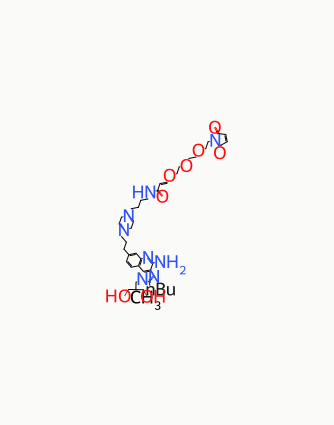 CCCCc1nc2c(N)nc3cc(CCCN4CCN(CCCCNC(=O)C=COCCOCCOCCN5C(=O)C=CC5=O)CC4)ccc3c2n1CC(C)(CO)CO